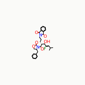 CC(C)/C=C(\F)[C@H](O)[C@@H](CCCN1C(=O)c2ccccc2C1=O)C(=O)N1C(=O)OCC1Cc1ccccc1